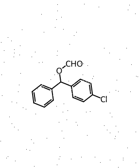 O=[C]OC(c1ccccc1)c1ccc(Cl)cc1